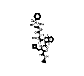 CN(C[C@@H](NC(=O)N[C@H](C(=O)N1C[C@@H]2CCC[C@@H]2[C@H]1C(=O)NC(CC1CCC1)C(=O)C(=O)NC1CC1)C(C)(C)C)C(C)(C)C)S(=O)(=O)c1ccccc1